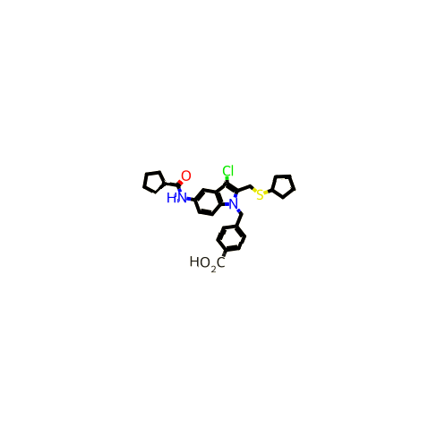 O=C(O)c1ccc(Cn2c(CSC3CCCC3)c(Cl)c3cc(NC(=O)C4CCCC4)ccc32)cc1